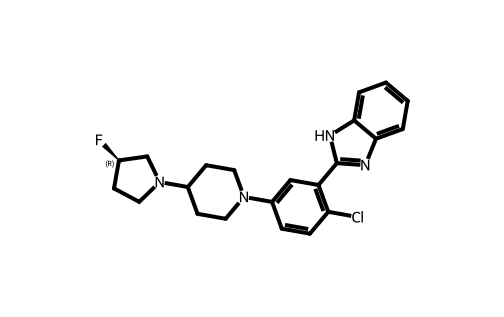 F[C@@H]1CCN(C2CCN(c3ccc(Cl)c(-c4nc5ccccc5[nH]4)c3)CC2)C1